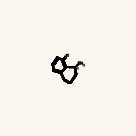 N[C@@H]1CCCc2cccc(Cl)c21